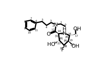 CCN(CCCc1ccccc1)C(=O)[C@H]1N[C@H](CO)[C@@H](O)[C@H](F)[C@@H]1O